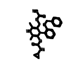 CC1=C(COC(=O)O)C(c2ccccc2OCc2ccccc2)C(OC(=O)NC2CC2)=C(C)N1